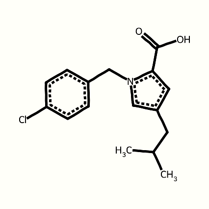 CC(C)Cc1cc(C(=O)O)n(Cc2ccc(Cl)cc2)c1